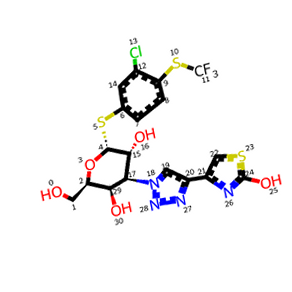 OC[C@H]1O[C@H](Sc2ccc(SC(F)(F)F)c(Cl)c2)[C@H](O)[C@@H](n2cc(-c3csc(O)n3)nn2)[C@H]1O